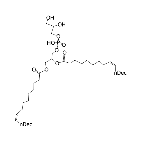 CCCCCCCCCC/C=C\CCCCCCCC(=O)OCC(COP(=O)(O)OCC(O)CO)OC(=O)CCCCCCC/C=C\CCCCCCCCCC